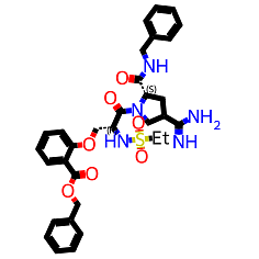 CCS(=O)(=O)N[C@H](COc1ccccc1C(=O)OCc1ccccc1)C(=O)N1CC(C(=N)N)C[C@H]1C(=O)NCc1ccccc1